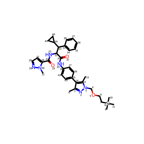 Cc1nn(COCC[Si](C)(C)C)c(C)c1-c1ccc(NC(=O)C(NC(=O)c2ccnn2C)C(c2ccccc2)C2CC2)cc1